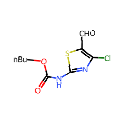 CCCCOC(=O)Nc1nc(Cl)c(C=O)s1